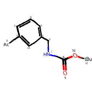 CC(=O)c1cccc(CNC(=O)OC(C)(C)C)c1